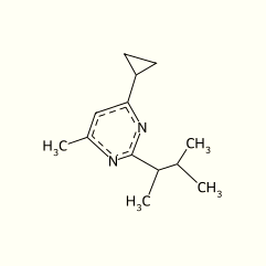 Cc1cc(C2CC2)nc(C(C)C(C)C)n1